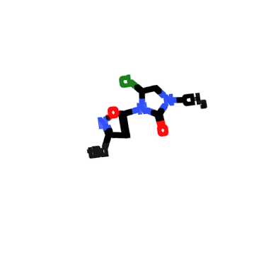 CN1CC(Cl)N(c2cc(C(C)(C)C)no2)C1=O